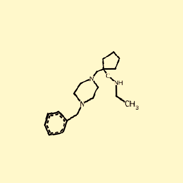 CCNCC1(CN2CCN(Cc3ccccc3)CC2)CCCC1